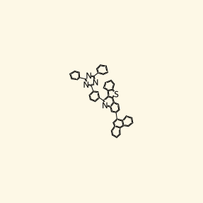 c1ccc(-c2nc(-c3ccccc3)nc(-c3cccc(-c4nc5cc(-c6cc7ccccc7c7ccccc67)ccc5c5sc6ccccc6c45)c3)n2)cc1